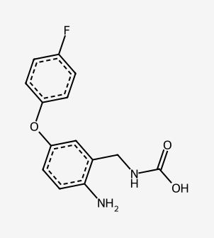 Nc1ccc(Oc2ccc(F)cc2)cc1CNC(=O)O